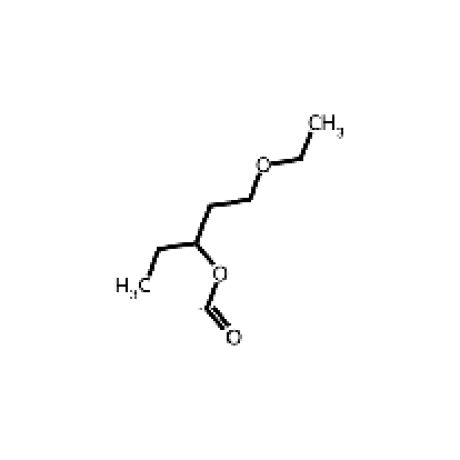 CCOCCC(CC)O[C]=O